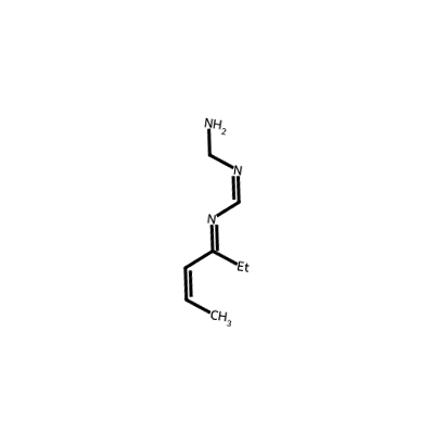 C\C=C/C(CC)=N/C=N\CN